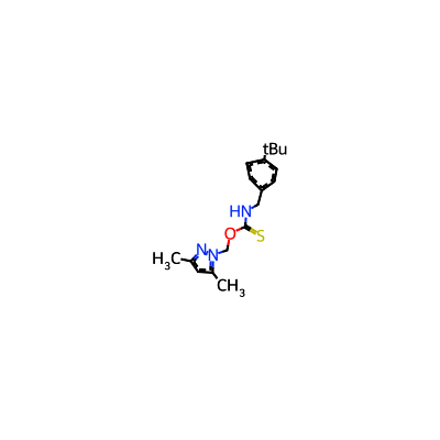 Cc1cc(C)n(COC(=S)NCc2ccc(C(C)(C)C)cc2)n1